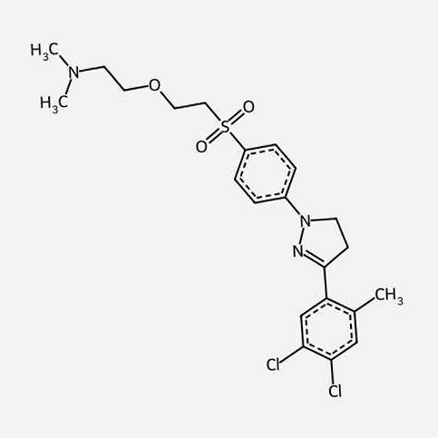 Cc1cc(Cl)c(Cl)cc1C1=NN(c2ccc(S(=O)(=O)CCOCCN(C)C)cc2)CC1